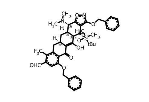 CN(C)[C@@H]1c2onc(OCc3ccccc3)c2C(=O)[C@@]2(O[Si](C)(C)C(C)(C)C)C(O)=C3C(=O)c4c(OCc5ccccc5)cc(C=O)c(C(F)(F)F)c4C[C@H]3C[C@@H]12